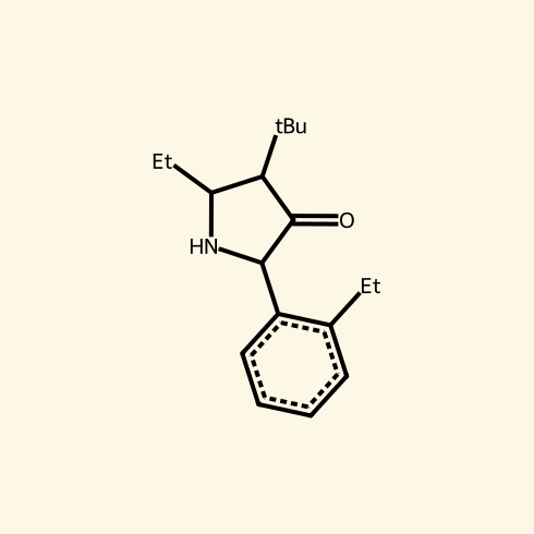 CCc1ccccc1C1NC(CC)C(C(C)(C)C)C1=O